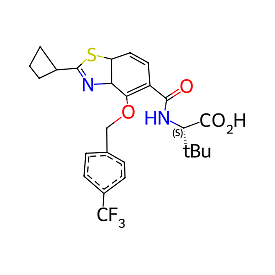 CC(C)(C)[C@H](NC(=O)C1=C(OCc2ccc(C(F)(F)F)cc2)C2N=C(C3CCC3)SC2C=C1)C(=O)O